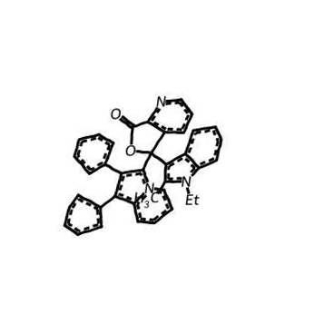 CCn1c(C)c(C2(c3c(-c4ccccc4)c(-c4ccccc4)c4ccccn34)OC(=O)c3ncccc32)c2ccccc21